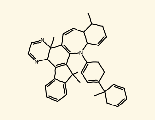 CC1CC=CC2C1C=CC1=C(C3=C(c4ccccc4C3(C)C)C3N=CC=NC13C)N2C1=CC=C(C2(C)C=CC=CC2)CC1